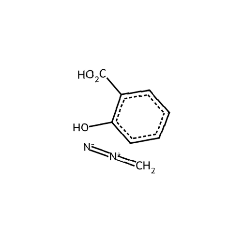 C=[N+]=[N-].O=C(O)c1ccccc1O